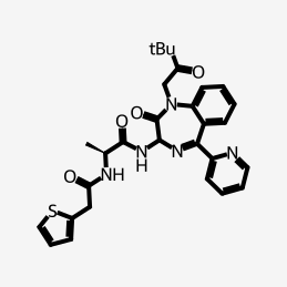 C[C@H](NC(=O)Cc1cccs1)C(=O)NC1N=C(c2ccccn2)c2ccccc2N(CC(=O)C(C)(C)C)C1=O